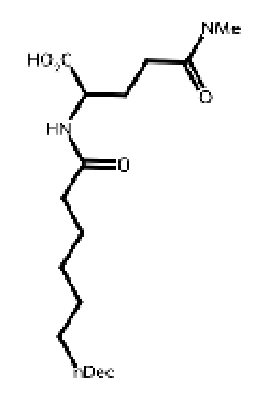 CCCCCCCCCCCCCCCC(=O)NC(CCC(=O)NC)C(=O)O